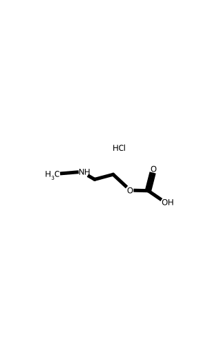 CNCCOC(=O)O.Cl